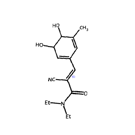 CCN(CC)C(=O)/C(C#N)=C/C1=CC(O)C(O)C(C)=C1